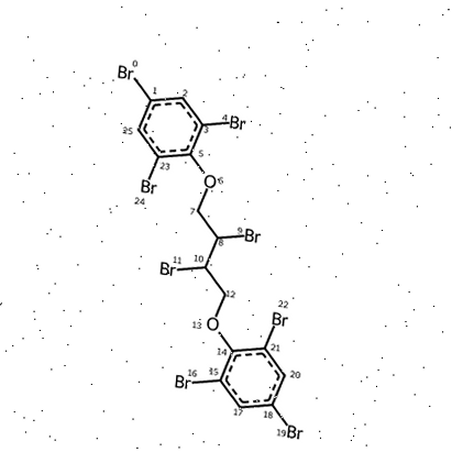 Brc1cc(Br)c(OCC(Br)C(Br)COc2c(Br)cc(Br)cc2Br)c(Br)c1